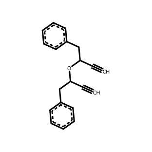 C#CC(Cc1ccccc1)OC(C#C)Cc1ccccc1